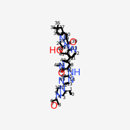 C=C[C@H]1CN(C2COC2)CCN1c1cnc(Nc2cc(-c3ccnc(N4CCn5c(cc6c5CC(C)(C)C6)C4=O)c3CO)cn(C)c2=O)cn1